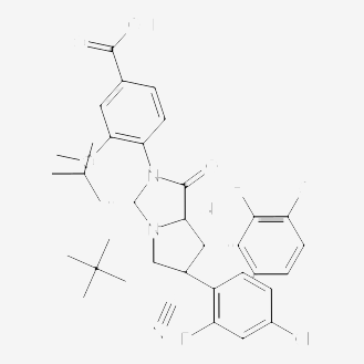 COc1cc(C(=O)O)ccc1N1C(=O)[C@H]2[C@H](c3cccc(Cl)c3F)[C@@](C#N)(c3ccc(Cl)cc3F)[C@H](CC(C)(C)C)N2[C@@H]1CC(C)C